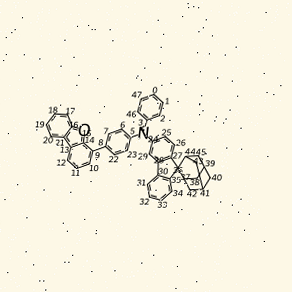 c1ccc(N(c2ccc(-c3cccc4c3oc3ccccc34)cc2)c2ccc3c(c2)-c2ccccc2C32C3CC4CC(C3)CC2C4)cc1